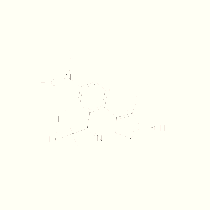 CC1=CCC(c2ccc(N(C)C)cc2C(=N)C(C)(C)C)=C1C